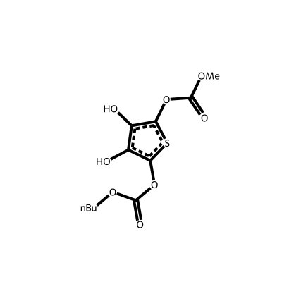 CCCCOC(=O)Oc1sc(OC(=O)OC)c(O)c1O